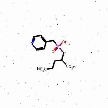 O=C(O)CCC(CP(=O)(O)Cc1ccncc1)C(=O)O